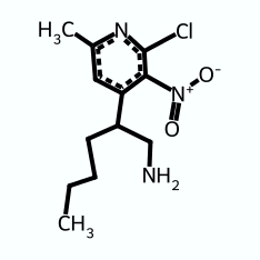 CCCCC(CN)c1cc(C)nc(Cl)c1[N+](=O)[O-]